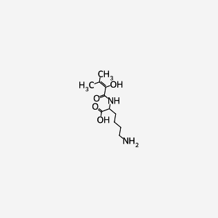 CC(C)=C(O)C(=O)NC(CCCCN)C(=O)O